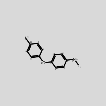 INc1ccc(Oc2ccc(I)cc2)cc1